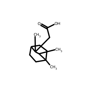 CC1C2(C)CCC(CC2)C1(C)CC(=O)O